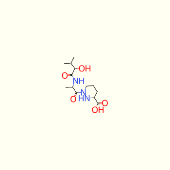 CC(NC(=O)C(O)C(C)C)C(=O)N1CCCC(C(=O)O)N1